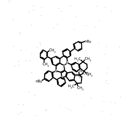 CCCCc1ccc(-c2ccc3c(c2)N(c2ccc4c(c2)C(C)(C)CCC4(C)C)B2c4c-3cc(-c3c(C)cccc3C)cc4N(c3ccc(CCCC)cc3-c3ccccc3)c3sc4cc5c(cc4c32)C(C)(C)CCC5(C)C)cc1